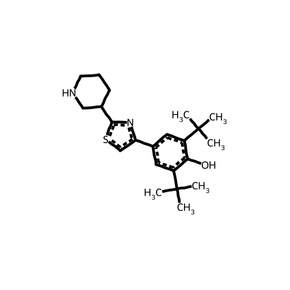 CC(C)(C)c1cc(-c2csc(C3CCCNC3)n2)cc(C(C)(C)C)c1O